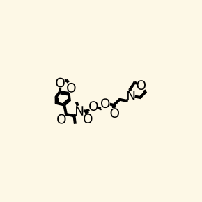 CC(C(=O)c1ccc2c(c1)OCO2)N(C)C(=O)OCOC(=O)CCN1CCOCC1